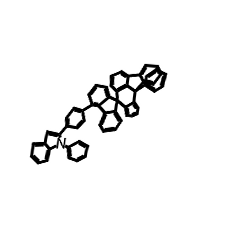 c1ccc(-n2c(-c3ccc(-c4cccc5c4-c4ccccc4C54c5ccccc5C5(c6ccccc6)c6ccccc6-c6cccc4c65)cc3)cc3ccccc32)cc1